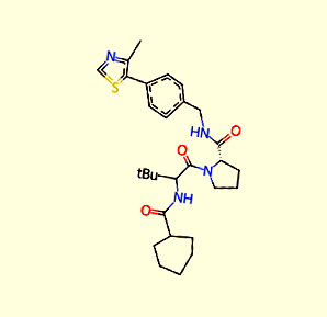 Cc1ncsc1-c1ccc(CNC(=O)[C@@H]2CCCN2C(=O)C(NC(=O)C2CCCCC2)C(C)(C)C)cc1